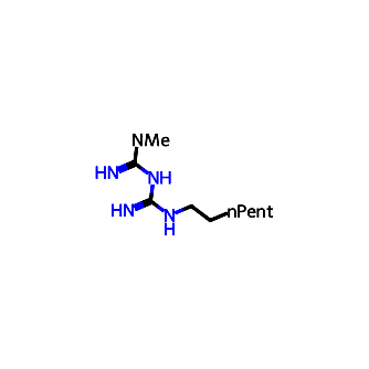 CCCCCCCNC(=N)NC(=N)NC